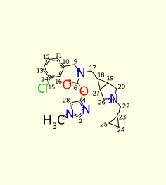 Cn1cnc(OC(=O)N(Cc2cccc(Cl)c2)CC2C3CN(CC4CC4)CC32)c1